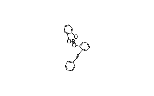 C(#Cc1ccccc1OB1Oc2ccccc2O1)c1ccccc1